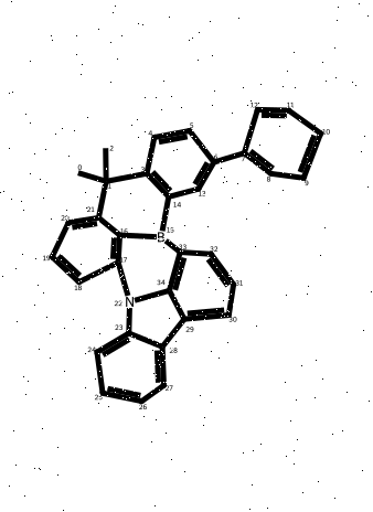 CC1(C)c2ccc(-c3ccccc3)cc2B2c3c(cccc31)-n1c3ccccc3c3cccc2c31